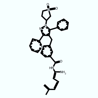 C=C(C)/C=C\C=C(/N)NC(=O)c1cccc(Cc2c(-c3ccccn3)nn(C3CCS(=O)(=O)C3)c2-c2ccccc2)c1